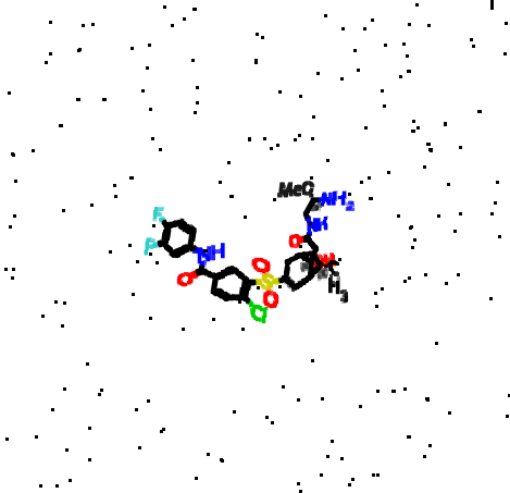 CO[C@H](N)CNC(=O)C[C@@]1(O)C2CC(S(=O)(=O)c3cc(C(=O)Nc4ccc(F)c(F)c4)ccc3Cl)CC1[C@@H](C)C2